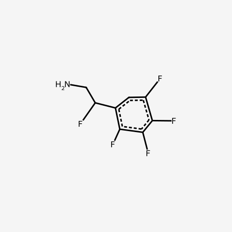 NCC(F)c1cc(F)c(F)c(F)c1F